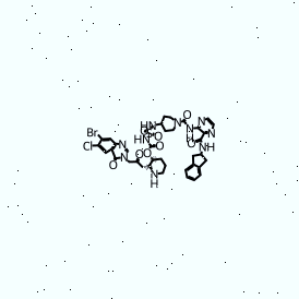 O=C(C[C@H]1NCCC[C@@H]1OC(=O)NS(=O)(=O)NC1CCN(C(=O)Nc2nccnc2C(=O)NC2Cc3ccccc3C2)CC1)Cn1cnc2cc(Br)c(Cl)cc2c1=O